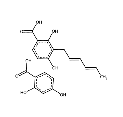 CC=CC=CCc1c(O)ccc(C(=O)O)c1O.O=C(O)c1ccc(O)cc1O